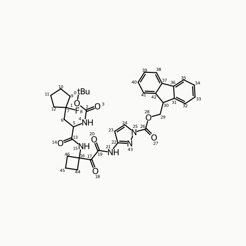 CC(C)(C)OC(=O)NC(CC1(F)CCCC1)C(=O)NC1(C(=O)C(=O)Nc2ccn(C(=O)OCC3c4ccccc4-c4ccccc43)n2)CCC1